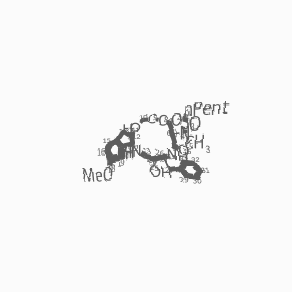 CCCCCS(=O)(=O)N(C)[C@H]1CCCCO[C@H]2Cc3ccc(OC)cc3[C@H]2NC[C@@H](O)[C@H](Cc2ccccc2)NC1=O